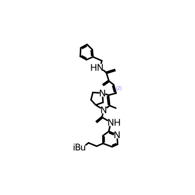 C=C(/C=C\C1=C(C)N(C(=C)Nc2cc(CCC(C)CC)ccn2)C2CCN1C2)C(=C)NCc1ccccc1